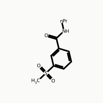 CCCNC(=O)c1cccc(S(C)(=O)=O)c1